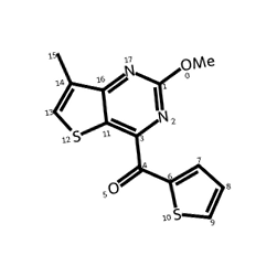 COc1nc(C(=O)c2cccs2)c2scc(C)c2n1